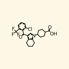 O=C(c1cn(C2CCC(C(=O)O)CC2)c2c1CCCC2)c1c(Cl)cccc1C(F)(F)F